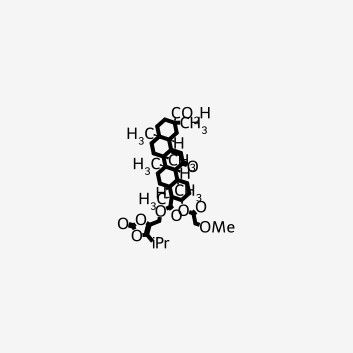 COCC(=O)O[C@H]1CC[C@@]2(C)[C@@H](CC[C@]3(C)[C@@H]2C(=O)C=C2[C@@H]4C[C@@](C)(C(=O)O)CC[C@]4(C)CC[C@]23C)[C@]1(C)C(=O)OCc1oc(=O)oc1C(C)C